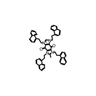 Cc1n(CCc2cccc3ccccc23)c2c([n+]1CCc1cccc3ccccc13)C(=O)c1c([n+](CCc3cccc4ccccc34)cn1CCc1cccc3ccccc13)C2=O